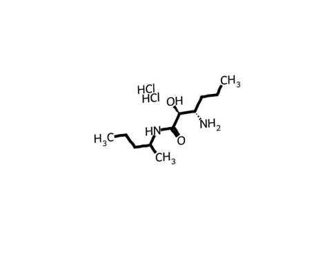 CCCC(C)NC(=O)[C@@H](O)[C@@H](N)CCC.Cl.Cl